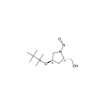 CC(C)(C)[Si](C)(C)O[C@@H]1C[C@@H](CO)N(N=O)C1